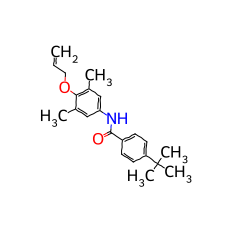 C=CCOc1c(C)cc(NC(=O)c2ccc(C(C)(C)C)cc2)cc1C